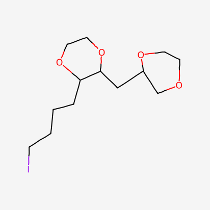 ICCCCC1OCCOC1CC1COCCO1